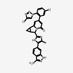 Nc1n[nH]c2cc(-c3[nH]c(C4C5CC5c5cc(-c6cc(Cl)ccc6-n6cc(Cl)nn6)cc(=O)n54)nc3F)ccc12